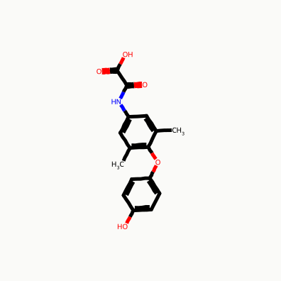 Cc1cc(NC(=O)C(=O)O)cc(C)c1Oc1ccc(O)cc1